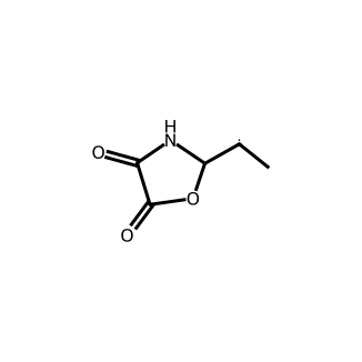 C[CH]C1NC(=O)C(=O)O1